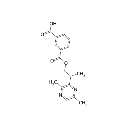 Cc1cnc(C)c(C(C)COC(=O)c2cccc(C(=O)O)c2)n1